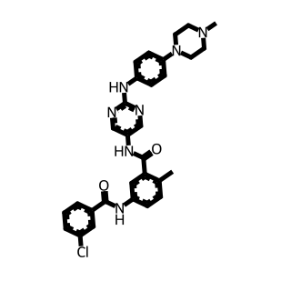 Cc1ccc(NC(=O)c2cccc(Cl)c2)cc1C(=O)Nc1cnc(Nc2ccc(N3CCN(C)CC3)cc2)nc1